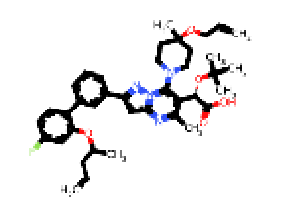 C=CCOC1(C)CCN(c2c([C@H](OC(C)(C)C)C(=O)O)c(C)nc3cc(-c4cccc(-c5ccc(F)cc5OC(C)CC=C)c4)nn23)CC1